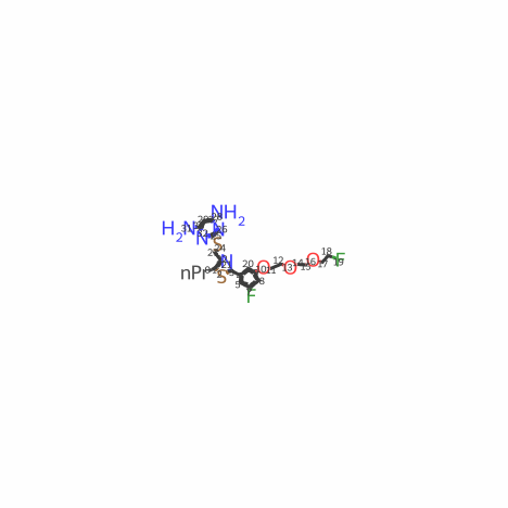 CCCc1sc(-c2cc(F)cc(OCCOCCOCCF)c2)nc1CSc1nc(N)cc(N)n1